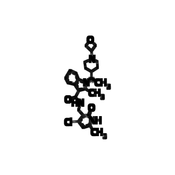 Cc1cc(Cl)c(CNC(=O)c2c(C)n([C@H](C)C3CCN(C4COC4)CC3)c3ccccc23)c(=O)[nH]1